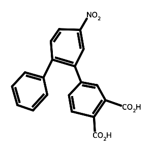 O=C(O)c1ccc(-c2cc([N+](=O)[O-])ccc2-c2ccccc2)cc1C(=O)O